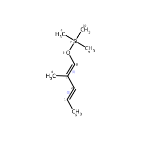 C/C=C/C(C)=C/O[Si](C)(C)C